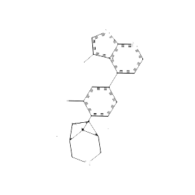 OC1(c2ccc(-c3ccnc4[nH]cc(F)c34)cc2Cl)[C@@H]2CC[C@H]1CNC2